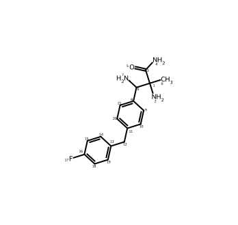 CC(N)(C(N)=O)C(N)c1ccc(Cc2ccc(F)cc2)cc1